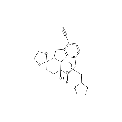 N#Cc1ccc2c3c1OC1C4(CCC5(O)[C@@H](C2)N(CC2CCCO2)CCC315)OCCO4